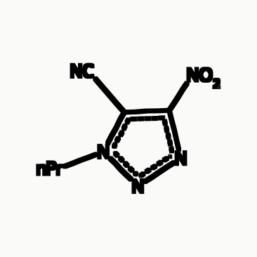 CCCn1nnc([N+](=O)[O-])c1C#N